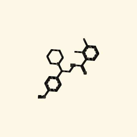 COc1ccc(C(CNC(=O)c2cccc(C)c2C)N2CCCCC2)cc1